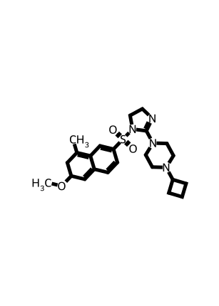 COC1C=c2ccc(S(=O)(=O)N3CCN=C3N3CCN(C4CCC4)CC3)cc2=C(C)C1